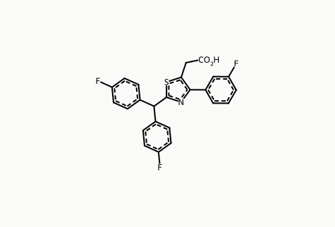 O=C(O)Cc1sc(C(c2ccc(F)cc2)c2ccc(F)cc2)nc1-c1cccc(F)c1